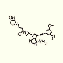 COc1cc(C#Cc2cn(C3CN(C(=O)/C=C/CN4CC[C@H](O)C4)C3)c3ncnc(N)c23)cc(OC)c1